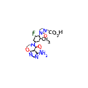 Cc1cc(N2CCOc3ncnc(N)c3C2=O)cc(F)c1N1CCN(CC(=O)O)C1=O